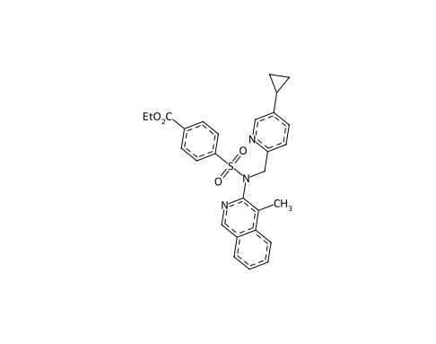 CCOC(=O)c1ccc(S(=O)(=O)N(Cc2ccc(C3CC3)cn2)c2ncc3ccccc3c2C)cc1